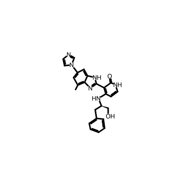 Cc1cc(-n2ccnc2)cc2[nH]c(-c3c(N[C@@H](CO)Cc4ccccc4)cc[nH]c3=O)nc12